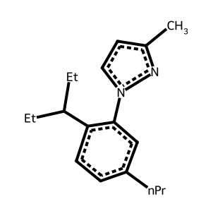 CCCc1ccc(C(CC)CC)c(-n2ccc(C)n2)c1